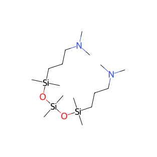 CN(C)CCC[Si](C)(C)O[Si](C)(C)O[Si](C)(C)CCCN(C)C